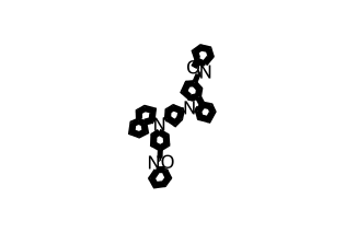 c1ccc2c(N(c3ccc(-c4nc5ccccc5o4)cc3)c3ccc(-n4c5ccccc5c5cc(-c6nc7ccccc7o6)ccc54)cc3)cccc2c1